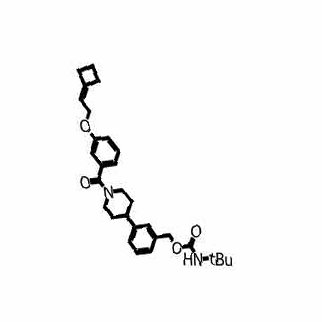 CC(C)(C)NC(=O)OCc1cccc(C2CCN(C(=O)c3cccc(OCC=C4CCC4)c3)CC2)c1